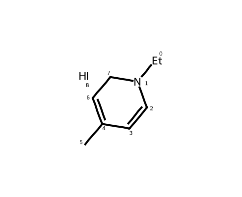 CCN1C=CC(C)=CC1.I